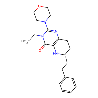 O=C(O)Cn1c(N2CCOCC2)nc2c(c1=O)N[C@@H](CCc1ccccc1)CC2